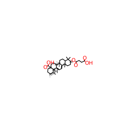 C[C@H]1[C@H](C)CC[C@]2(C(=O)O)CC[C@]3(C)C(=CC=C4[C@@]5(C)CC[C@H](OC(=O)CCC(=O)O)C(C)(C)C5CC[C@]43C)[C@H]12